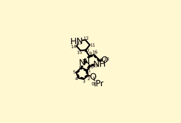 CC(C)Oc1cccc2nn3c(C4CCNCC4)cc(=O)[nH]c3c12